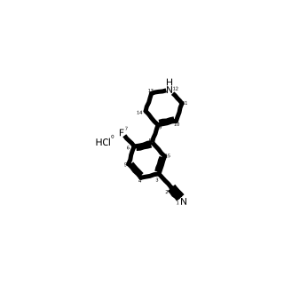 Cl.N#Cc1ccc(F)c(C2=CCNCC2)c1